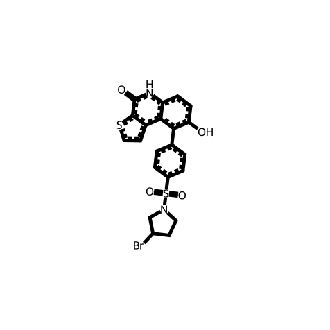 O=c1[nH]c2ccc(O)c(-c3ccc(S(=O)(=O)N4CCC(Br)C4)cc3)c2c2ccsc12